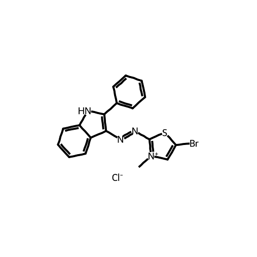 C[n+]1cc(Br)sc1N=Nc1c(-c2ccccc2)[nH]c2ccccc12.[Cl-]